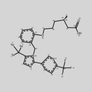 [2H]C([2H])([2H])c1cnc(-c2ccc(C(F)(F)F)nc2)n1Cc1ccccc1OCCC[C@@H](C)CC(=O)O